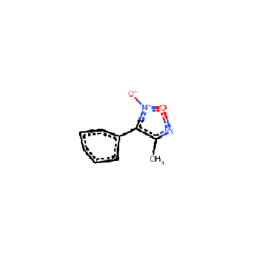 Cc1no[n+]([O-])c1-c1ccccc1